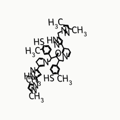 Cc1cc(C)n(Cc2cc(C3=CN(CC(C(=O)C(CN4C=CCC(c5cc(Cn6nc(C)cc6C)[nH]n5)=C4)c4ccc(S)c(C)c4)c4ccc(S)c(C)c4)C=CC3)n[nH]2)n1